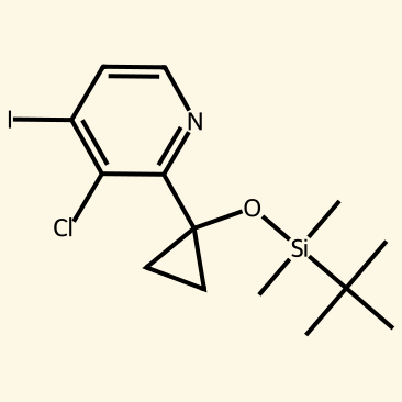 CC(C)(C)[Si](C)(C)OC1(c2nccc(I)c2Cl)CC1